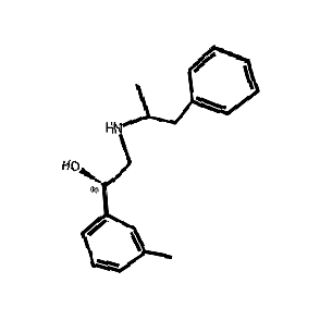 Cc1cccc([C@@H](O)CNC(C)Cc2ccccc2)c1